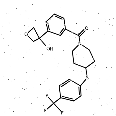 O=C(c1cccc(C2(O)COC2)c1)N1CCC(Sc2ccc(C(F)(F)F)cc2)CC1